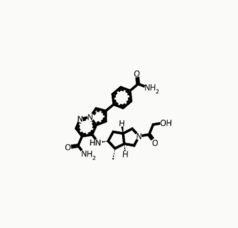 C[C@H]1[C@@H]2CN(C(=O)CO)C[C@H]2C[C@H]1Nc1c(C(N)=O)cnn2cc(-c3ccc(C(N)=O)cc3)cc12